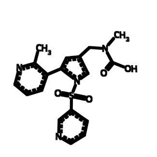 Cc1ncccc1-c1cc(CN(C)C(=O)O)cn1S(=O)(=O)c1cccnc1